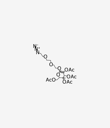 CC(=O)OCC1O[C@@H](OCCOCCOCCN=[N+]=[N-])[C@@H](OC(C)=O)C(OC(C)=O)[C@H]1OC(C)=O